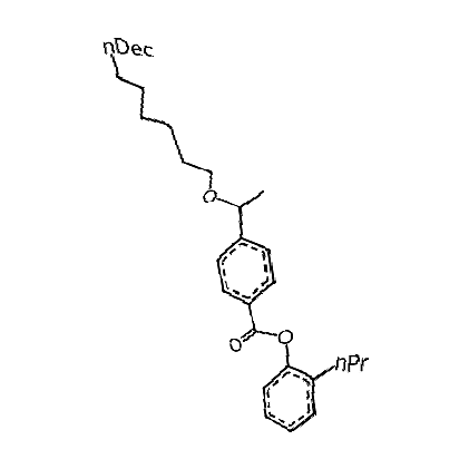 CCCCCCCCCCCCCCCCOC(C)c1ccc(C(=O)Oc2ccccc2CCC)cc1